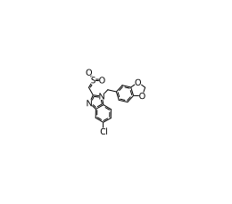 O=S(=O)=Cc1nc2cc(Cl)ccc2n1Cc1ccc2c(c1)OCO2